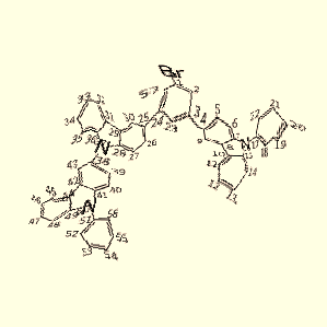 Brc1cc(-c2ccc3c(c2)c2ccccc2n3-c2ccccc2)cc(-c2ccc3c(c2)c2ccccc2n3-c2ccc3c(c2)c2ccccc2n3-c2ccccc2)c1